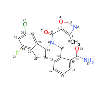 Cc1ncoc1C(=O)N(Cc1ccccc1C(N)=O)[C@@H]1CCc2c(F)cc(Cl)cc21